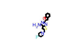 Nc1nc(-c2cc3ccccc3o2)nc2sc(CN3CCC(F)CC3)cc12